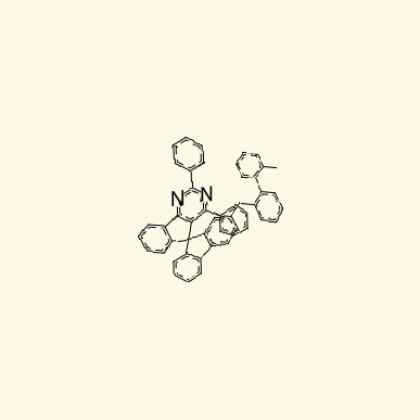 Cc1ccccc1-c1ccccc1Cc1ccc2c(c1)C1(c3ccccc3-2)c2ccccc2-c2nc(-c3ccccc3)nc(-c3ccccc3)c21